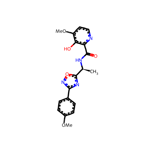 COc1ccc(-c2noc([C@H](C)NC(=O)c3nccc(OC)c3O)n2)cc1